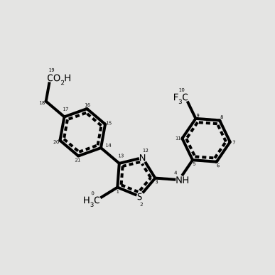 Cc1sc(Nc2cccc(C(F)(F)F)c2)nc1-c1ccc(CC(=O)O)cc1